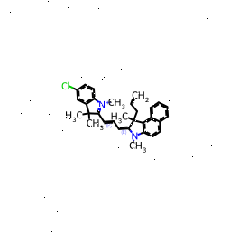 C=CCC1(C)/C(=C\C=C\C2=[N+](C)c3ccc(Cl)cc3C2(C)C)N(C)c2ccc3ccccc3c21